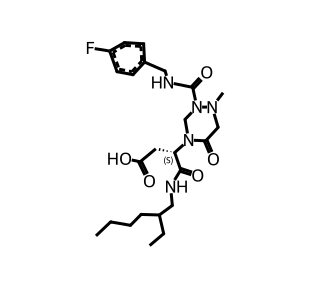 CCCCC(CC)CNC(=O)[C@H](CC(=O)O)N1CN(C(=O)NCc2ccc(F)cc2)N(C)CC1=O